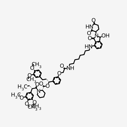 CC[C@H](C(=O)N1CCCC[C@H]1C(=O)O[C@H](CCc1ccc(OC)c(OC)c1)c1cccc(OCC(=O)NCCCCCCCCNc2cccc3c2C(=O)N(C2CCC(=O)NC2=O)C3O)c1)c1cc(OC)c(OC)c(OC)c1